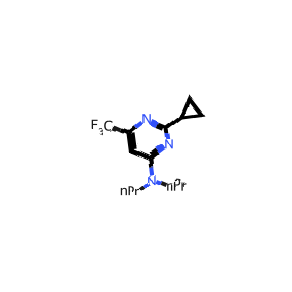 CCCN(CCC)c1cc(C(F)(F)F)nc(C2CC2)n1